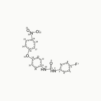 O=C(Nc1ccc(F)cc1)Nc1ccc(Oc2ccc([N+](=O)[O-])cc2)cc1